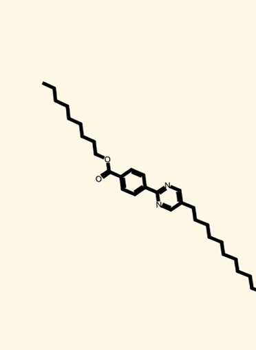 CCCCCCCCCCCCc1cnc(-c2ccc(C(=O)OCCCCCCCCC)cc2)nc1